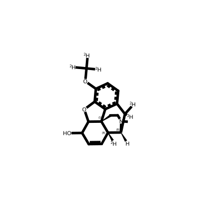 [2H]C([2H])([2H])Oc1ccc2c3c1OC1C(O)C=C[C@@]4([2H])[C@H](N(C)CC[C@]314)C2([2H])[2H]